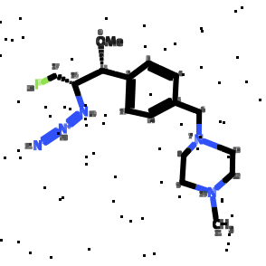 CO[C@H](c1ccc(CN2CCN(C)CC2)cc1)[C@@H](CF)N=[N+]=[N-]